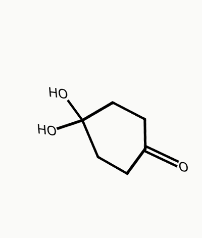 O=C1CCC(O)(O)CC1